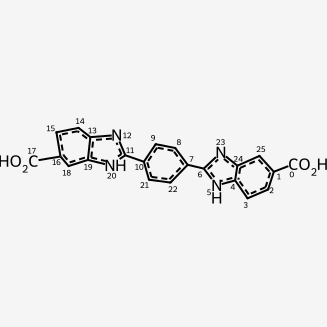 O=C(O)c1ccc2[nH]c(-c3ccc(-c4nc5ccc(C(=O)O)cc5[nH]4)cc3)nc2c1